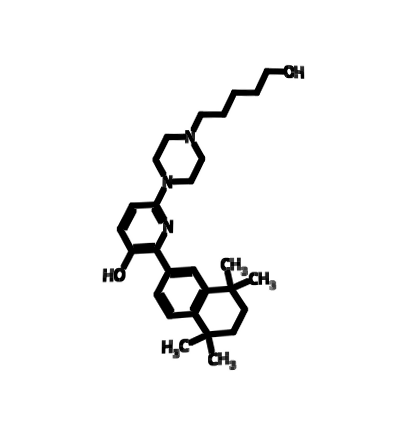 CC1(C)CCC(C)(C)c2cc(-c3nc(N4CCN(CCCCCO)CC4)ccc3O)ccc21